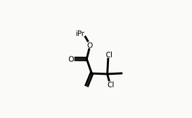 C=C(C(=O)OC(C)C)C(C)(Cl)Cl